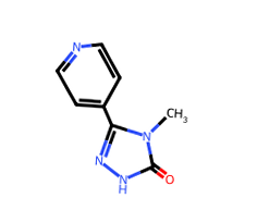 Cn1c(-c2ccncc2)n[nH]c1=O